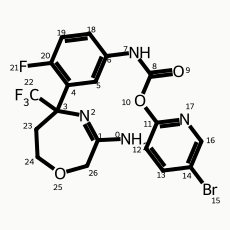 NC1=NC(c2cc(NC(=O)Oc3ccc(Br)cn3)ccc2F)(C(F)(F)F)CCOC1